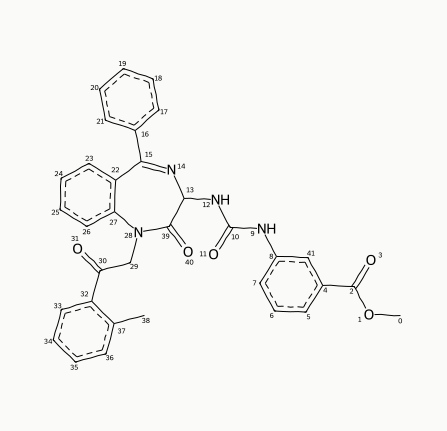 COC(=O)c1cccc(NC(=O)NC2N=C(c3ccccc3)c3ccccc3N(CC(=O)c3ccccc3C)C2=O)c1